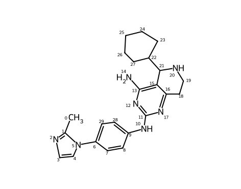 Cc1nccn1-c1ccc(Nc2nc(N)c3c(n2)CCNC3C2CCCCC2)cc1